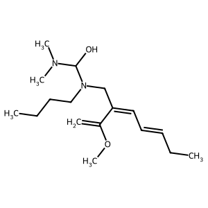 C=C(OC)/C(=C\C=C\CC)CN(CCCC)C(O)N(C)C